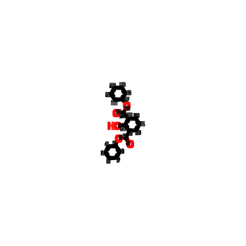 O=C(Oc1ccccc1)c1cccc(C(=O)Oc2ccccc2)c1O